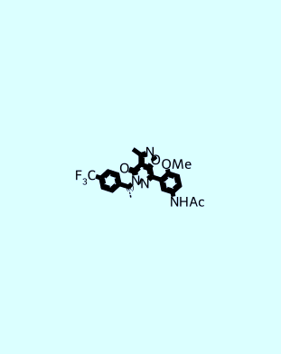 COc1ccc(NC(C)=O)cc1-c1nn([C@H](C)c2ccc(C(F)(F)F)cc2)c(=O)c2c(C)noc12